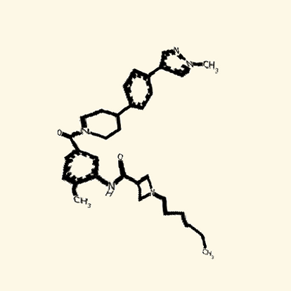 CCCCCCN1CC(C(=O)Nc2cc(C(=O)N3CCC(c4ccc(-c5cnn(C)c5)cc4)CC3)ccc2C)C1